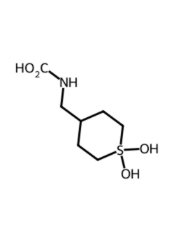 O=C(O)NCC1CCS(O)(O)CC1